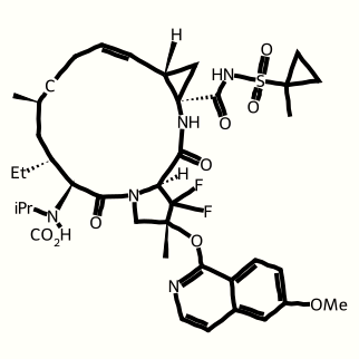 CC[C@@H]1C[C@@H](C)CC/C=C\[C@@H]2C[C@@]2(C(=O)NS(=O)(=O)C2(C)CC2)NC(=O)[C@@H]2N(C[C@@](C)(Oc3nccc4cc(OC)ccc34)C2(F)F)C(=O)[C@H]1N(C(=O)O)C(C)C